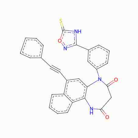 O=C1CC(=O)N(c2cccc(-c3noc(=S)[nH]3)c2)c2cc(C#Cc3ccccc3)c3ccccc3c2N1